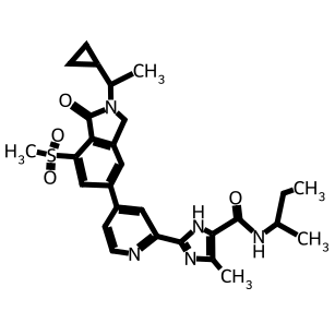 CCC(C)NC(=O)c1[nH]c(-c2cc(-c3cc4c(c(S(C)(=O)=O)c3)C(=O)N(C(C)C3CC3)C4)ccn2)nc1C